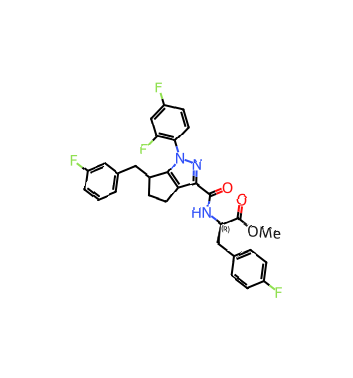 COC(=O)[C@@H](Cc1ccc(F)cc1)NC(=O)c1nn(-c2ccc(F)cc2F)c2c1CCC2Cc1cccc(F)c1